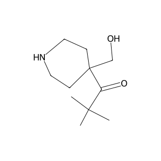 CC(C)(C)C(=O)C1(CO)CCNCC1